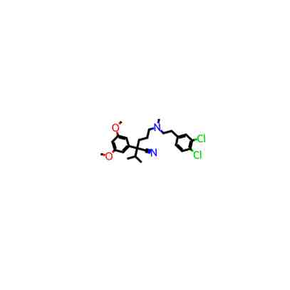 COc1cc(OC)cc(C(C#N)(CCCN(C)CCc2ccc(Cl)c(Cl)c2)C(C)C)c1